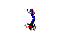 [CH2]N1C(=O)CCC(N2C(=O)c3ccc(N4CCN(CC5CCN(c6ccc(C(=O)N[C@H]7C(C)(C)[C@H](Oc8ccc(C#N)c(Cl)c8)C7(C)C)cc6)CC5)CC4)cc3C2=O)C1=O